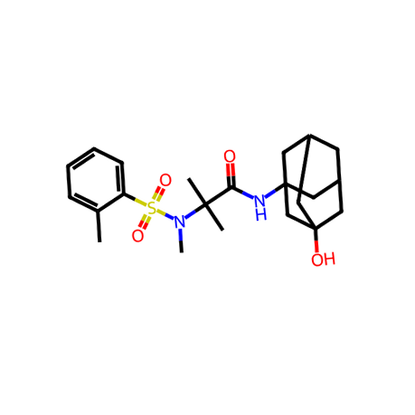 Cc1ccccc1S(=O)(=O)N(C)C(C)(C)C(=O)NC12CC3CC(CC(O)(C3)C1)C2